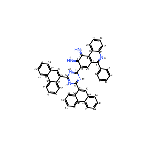 N=C1C(=N)c2c(c(-c3ccccc3)nc3ccccc23)C=C1c1nc(-c2cc3ccccc3c3ccccc23)nc(-c2cc3ccccc3c3ccccc23)n1